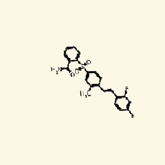 Cc1cc(S(=O)(=O)c2ccccc2C(N)=O)ccc1/C=C/c1ccc(F)cc1F